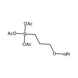 CCCOCCC[Si](OC(C)=O)(OC(C)=O)OC(C)=O